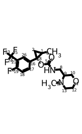 CC1C[C@]1(OC(=O)NCC1COCCN1C)c1ccc(F)c(C(F)(F)F)c1